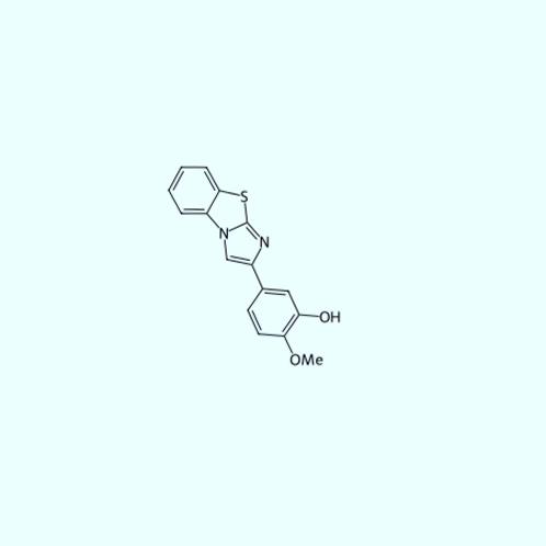 COc1ccc(-c2cn3c(n2)sc2ccccc23)cc1O